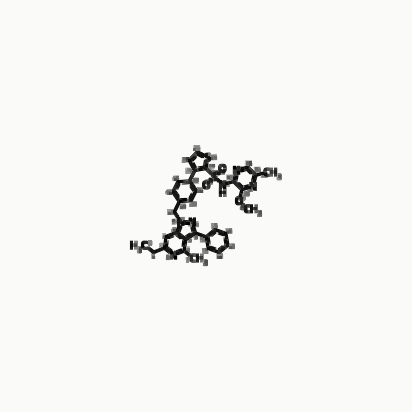 CCc1cc2c(c(C)n1)c(-c1ccccc1)nn2Cc1ccc(-c2ccsc2S(=O)(=O)Nc2ncc(C)nc2OC)cc1